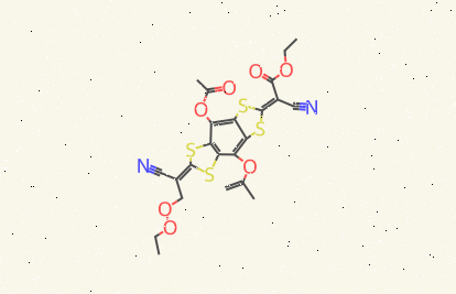 C=C(C)Oc1c2c(c(OC(C)=O)c3c1S/C(=C(/C#N)COOCC)S3)S/C(=C(/C#N)C(=O)OCC)S2